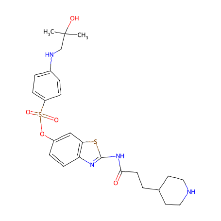 CC(C)(O)CNc1ccc(S(=O)(=O)Oc2ccc3nc(NC(=O)CCC4CCNCC4)sc3c2)cc1